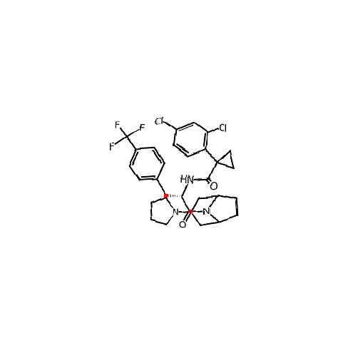 O=C([C@H](Cc1ccc(C(F)(F)F)cc1)NC(=O)C1(c2ccc(Cl)cc2Cl)CC1)N1C2CCC1CC(N1CCCC1)C2